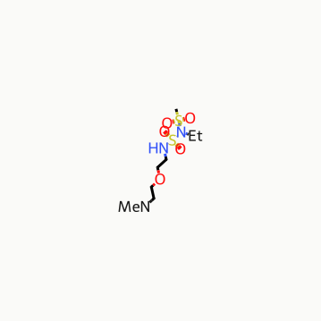 CCN(S(C)(=O)=O)S(=O)(=O)NCCOCCNC